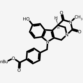 CCCCOC(=O)c1ccc(Cn2c3c(c4cc(O)ccc42)[C@@H]2CN(C3)C(=O)N(C)C2=O)cc1